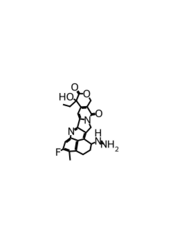 CCC1(O)C(=O)OCc2c1cc1n(c2=O)Cc2c-1nc1cc(F)c(C)c3c1c2C(NN)CC3